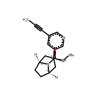 CC#Cc1cncc([C@]2(C#N)C[C@H]3CC[C@@H](C2)N3C(=O)OC(C)(C)C)c1